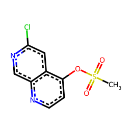 CS(=O)(=O)Oc1ccnc2cnc(Cl)cc12